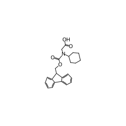 O=C(O)CN(C(=O)OCC1c2ccccc2-c2ccccc21)C1CCCCC1